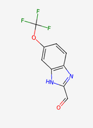 O=Cc1nc2ccc(OC(F)(F)F)cc2[nH]1